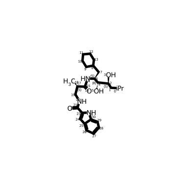 CC(C)C[C@H](O)[C@H](O)[C@H](CC1CCCCC1)NC(=O)[C@@H](C)CNC(=O)c1cc2ccccc2[nH]1